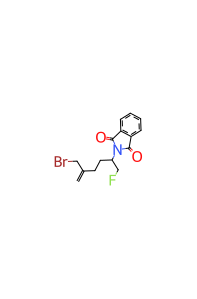 C=C(CBr)CCC(CF)N1C(=O)c2ccccc2C1=O